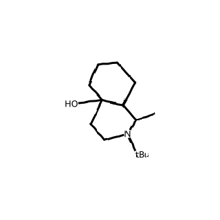 CC1C2CCCCC2(O)CCN1C(C)(C)C